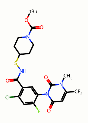 Cn1c(C(F)(F)F)cc(=O)n(-c2cc(C(=O)NSC3CCN(C(=O)OC(C)(C)C)CC3)c(Cl)cc2F)c1=O